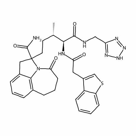 C[C@@H](CCC1(C(N)=O)Cc2cccc3c2N1C(=O)CCC3)[C@H](NC(=O)Cc1csc2ccccc12)C(=O)NCc1nn[nH]n1